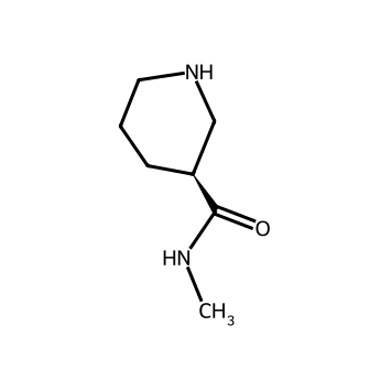 CNC(=O)[C@H]1CCCNC1